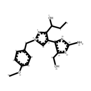 CCC(O)c1nn(Cc2ccc(OC)cc2)cc1-c1nc(N)sc1CO